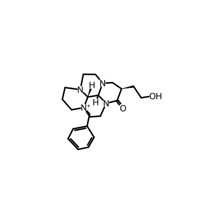 O=C1[C@H](CCO)CN2CCN3CCC[N+]4(Cc5ccccc5)CCN1[C@@H]2[C@@H]34